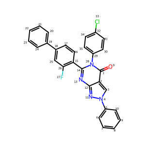 O=c1c2cn(-c3ccccc3)nc2nc(-c2ccc(-c3ccccc3)cc2F)n1-c1ccc(Cl)cc1